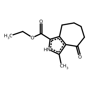 CCOC(=O)c1[nH]c(C)c2c1CCCCC2=O